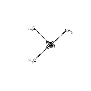 CCCCCCCCCCCCCCCCCCCCCCOc1cccc([Si](O)(c2cccc(OCCCCCCCCCCCCCCCCCCCCCC)c2)c2cccc(OCCCCCCCCCCCCCCCCCCCCCC)c2)c1